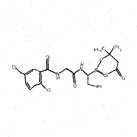 CC(C)CC(NC(=O)CNC(=O)c1cc(Cl)ccc1Cl)B1OC(=O)CC(C)(C)O1